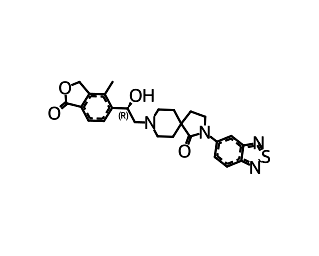 Cc1c([C@@H](O)CN2CCC3(CC2)CCN(c2ccc4nsnc4c2)C3=O)ccc2c1COC2=O